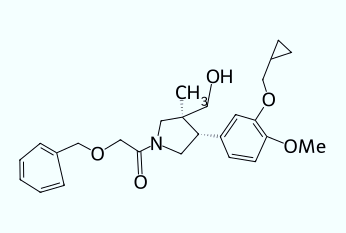 COc1ccc([C@@H]2CN(C(=O)COCc3ccccc3)C[C@@]2(C)CO)cc1OCC1CC1